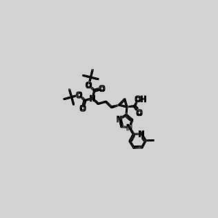 Cc1cccc(-n2cnc([C@@]3(C(=O)O)C[C@@H]3CCCN(C(=O)OC(C)(C)C)C(=O)OC(C)(C)C)c2)n1